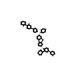 Cc1ccccc1-c1ccc(-c2ccc(N(c3ccccc3)c3ccc4c(c3)C(C)(C)c3cc(-n5c6ccccc6c6cc(-c7ccccc7)ccc65)ccc3-4)cc2)cc1C